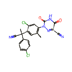 Cc1cc(C(C)(C#N)c2ccc(Cl)cc2)c(Cl)cc1-n1nc(C#N)c(=O)[nH]c1=O